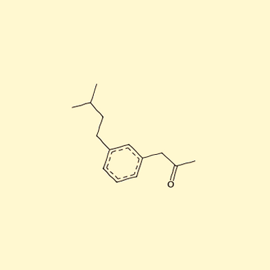 CC(=O)Cc1cccc(CCC(C)C)c1